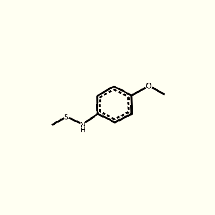 COc1ccc(NSC)cc1